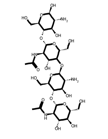 CC(=O)N[C@H]1[C@H](O[C@H]2[C@H](O)[C@@H](N)[C@H](OC3[C@@H](CO)O[C@@H](O[C@H]4[C@H](O)[C@@H](N)[C@H](O)O[C@@H]4CO)[C@H](NC(C)=O)[C@H]3O)O[C@@H]2CO)O[C@H](CO)[C@@H](O)[C@@H]1O